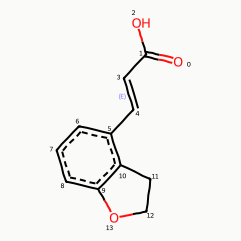 O=C(O)/C=C/c1cccc2c1CCO2